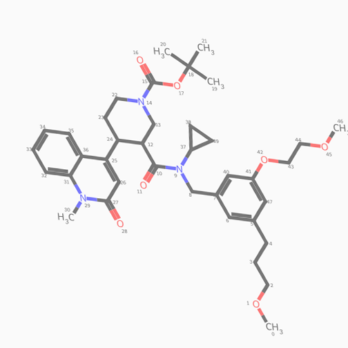 COCCCc1cc(CN(C(=O)C2CN(C(=O)OC(C)(C)C)CCC2c2cc(=O)n(C)c3ccccc23)C2CC2)cc(OCCOC)c1